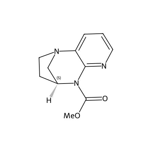 COC(=O)N1c2ncccc2N2CC[C@H]1C2